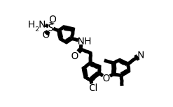 Cc1cc(C#N)cc(C)c1Oc1cc(CC(=O)Nc2ccc(S(N)(=O)=O)cc2)ccc1Cl